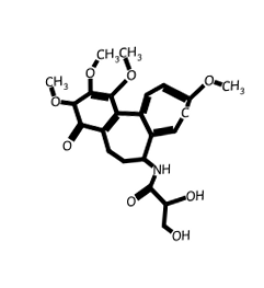 COC1=CC=C2C(=CC1)C(NC(=O)C(O)CO)CCC1=C2C(OC)=C(OC)C(OC)C1=O